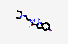 CCN(CC)CCNC(=O)c1cc2cc(I)ccc2[nH]1